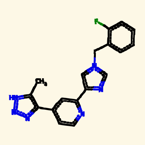 Cc1[nH]nnc1-c1ccnc(-c2cn(Cc3ccccc3F)cn2)c1